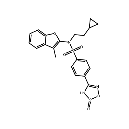 Cc1c(N(CCC2CC2)S(=O)(=O)c2ccc(C3=NOS(=O)N3)cc2)sc2ccccc12